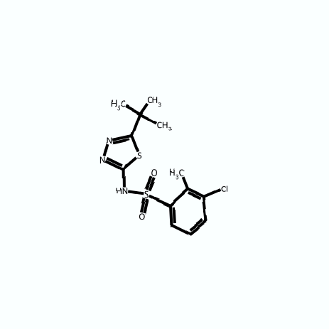 Cc1c(Cl)cccc1S(=O)(=O)Nc1nnc(C(C)(C)C)s1